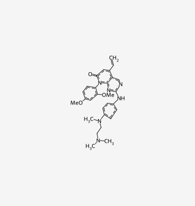 C=Cc1cc(=O)n(-c2ccc(OC)cc2OC)c2nc(Nc3ccc(N(C)CCN(C)C)cc3)ncc12